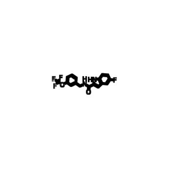 O=C(NCc1cccc(OC(F)(F)F)c1)c1cc2cc(F)ccc2[nH]1